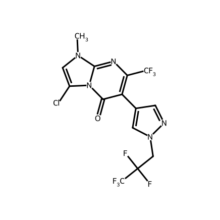 Cn1cc(Cl)n2c(=O)c(-c3cnn(CC(F)(F)C(F)(F)F)c3)c(C(F)(F)F)nc12